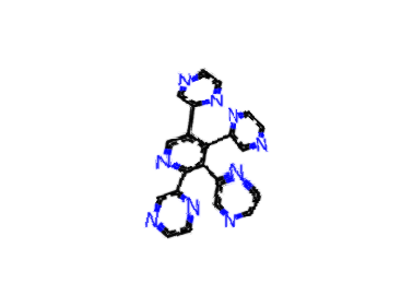 c1cnc(-c2cnc(-c3cnccn3)c(-c3cnccn3)c2-c2cnccn2)cn1